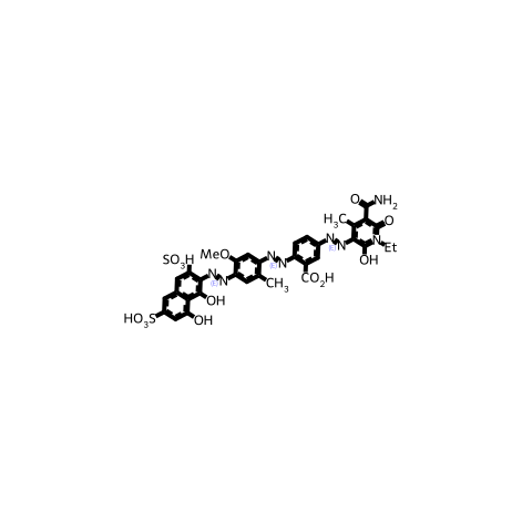 CCn1c(O)c(/N=N/c2ccc(/N=N/c3cc(OC)c(/N=N/c4c(S(=O)(=O)O)cc5cc(S(=O)(=O)O)cc(O)c5c4O)cc3C)c(C(=O)O)c2)c(C)c(C(N)=O)c1=O